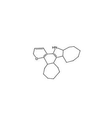 C1=CC2=C(OC1)C1CCCCCCC1C1=C2NC2CCCCCCC12